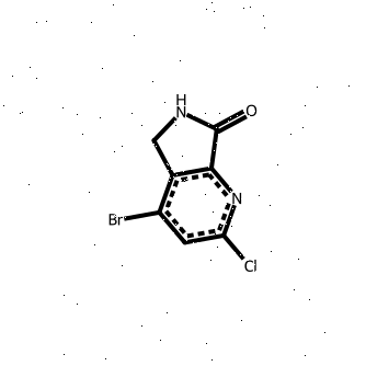 O=C1NCc2c(Br)cc(Cl)nc21